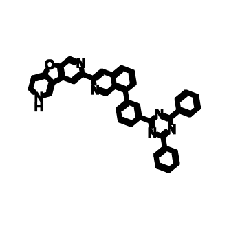 C1=c2oc3cnc(-c4cc5cccc(-c6cccc(-c7nc(-c8ccccc8)nc(-c8ccccc8)n7)c6)c5cn4)cc3c2=CNC1